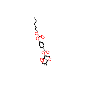 CCCCCCOC(=O)Oc1ccc(C(=O)O[C@H]2COC3C2OC[C@@H]3C)cc1